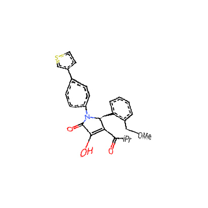 COCc1ccccc1[C@H]1C(C(=O)C(C)C)=C(O)C(=O)N1c1ccc(-c2ccsc2)cc1